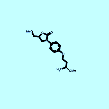 COCC1CN(c2ccc(OCC[C@H](C)OC)cc2)C(=O)O1